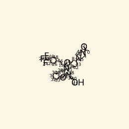 CC(=O)N1CCN(c2ccc(CN(C(=O)C=Cc3ccc(C(F)(F)F)cc3)C(Cc3ccccc3)C(=O)N(C)CCO)cc2)CC1